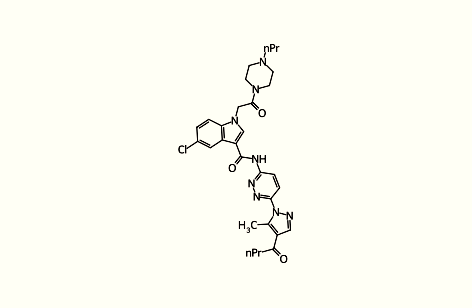 CCCC(=O)c1cnn(-c2ccc(NC(=O)c3cn(CC(=O)N4CCN(CCC)CC4)c4ccc(Cl)cc34)nn2)c1C